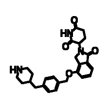 O=C1CCC(N2Cc3c(OCc4ccc(CC5CCNCC5)cc4)cccc3C2=O)C(=O)N1